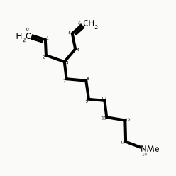 C=CCC(CC=C)CCCCCCCNC